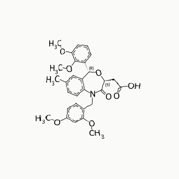 COc1ccc(CN2C(=O)[C@H](CC(=O)O)O[C@@H](c3cccc(OC)c3OC)c3cc(C)ccc32)c(OC)c1